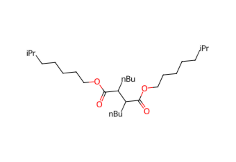 CCCCC(C(=O)OCCCCCC(C)C)C(CCCC)C(=O)OCCCCCC(C)C